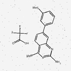 CNc1nc(N)nc2cc(-c3cccc(SC)c3)ccc12.O=C(O)C(F)(F)F